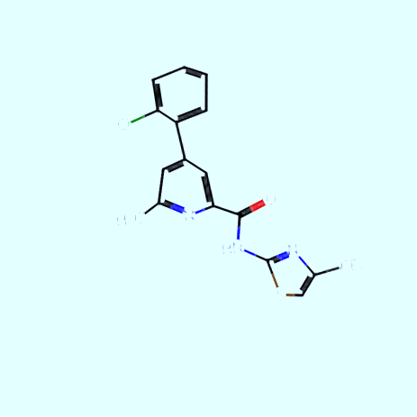 Cc1cc(-c2ccccc2Cl)cc(C(=O)Nc2nc(C(F)(F)F)cs2)n1